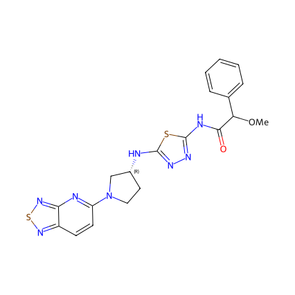 COC(C(=O)Nc1nnc(N[C@@H]2CCN(c3ccc4nsnc4n3)C2)s1)c1ccccc1